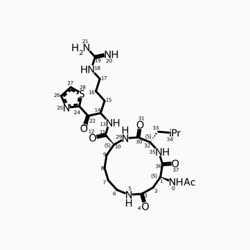 CC(=O)N[C@H]1CC(=O)NCCCC[C@@H](C(=O)NC(CCCNC(=N)N)C(=O)c2nccs2)NC(=O)[C@H](CC(C)C)NC1=O